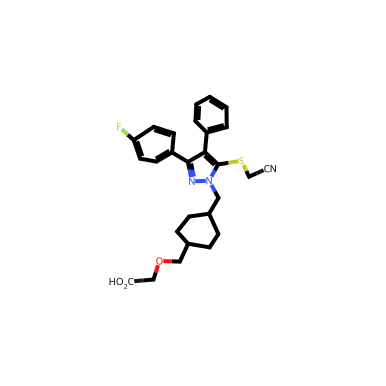 N#CCSc1c(-c2ccccc2)c(-c2ccc(F)cc2)nn1CC1CCC(COCC(=O)O)CC1